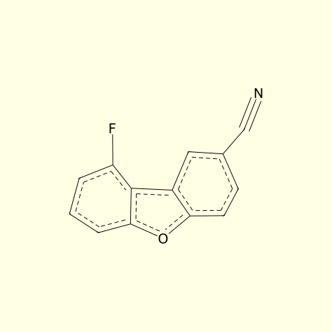 N#Cc1ccc2oc3cccc(F)c3c2c1